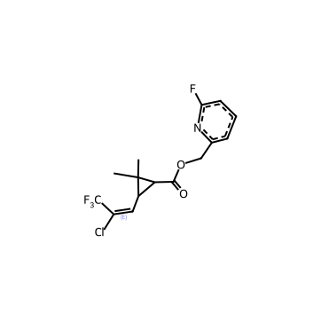 CC1(C)C(/C=C(/Cl)C(F)(F)F)C1C(=O)OCc1cccc(F)n1